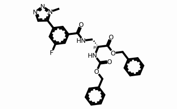 Cn1nncc1-c1cc(F)cc(C(=O)NC[C@@H](NC(=O)OCc2ccccc2)C(=O)OCc2ccccc2)c1